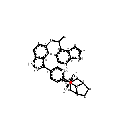 CC(Oc1ccc2[nH]nc(-c3ccc(N4CC5CCC(C4)N5S(C)(=O)=O)nc3)c2c1)c1ccnc2[nH]ccc12